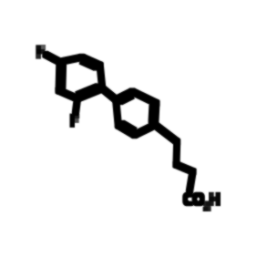 O=C(O)CCCc1ccc(-c2ccc(F)cc2F)cc1